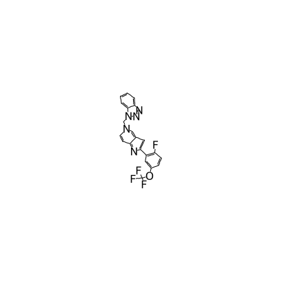 Fc1ccc(OC(F)(F)F)cc1-c1cc2cn(Cn3nnc4ccccc43)ccc-2n1